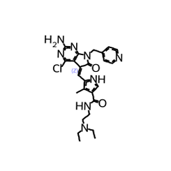 CCN(CC)CCNC(=O)c1c[nH]c(/C=C2\C(=O)N(Cc3ccncc3)c3nc(N)nc(Cl)c32)c1C